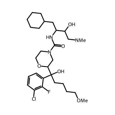 CNCC(O)C(CC1CCCCC1)NC(=O)N1CCOC(C(O)(CCCCOC)c2cccc(Cl)c2F)C1